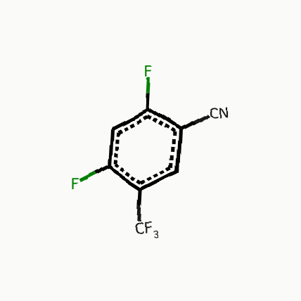 N#Cc1cc(C(F)(F)F)c(F)cc1F